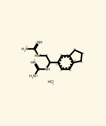 Cl.N=C(N)N[CH]C(NC(=N)N)c1ccc2c(c1)CCC2